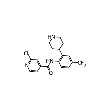 O=C(Nc1ccc(C(F)(F)F)cc1C1CCNCC1)c1ccnc(Cl)c1